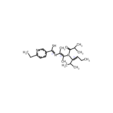 CC/C=C(\C(C)C)N(C(=O)C(C)C)/C(C)=C(C)/N=C(\S)c1ccc(CC)nc1